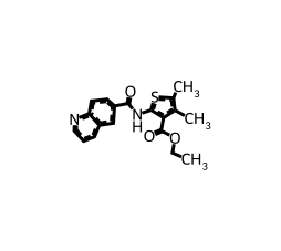 CCOC(=O)c1c(NC(=O)c2ccc3ncccc3c2)sc(C)c1C